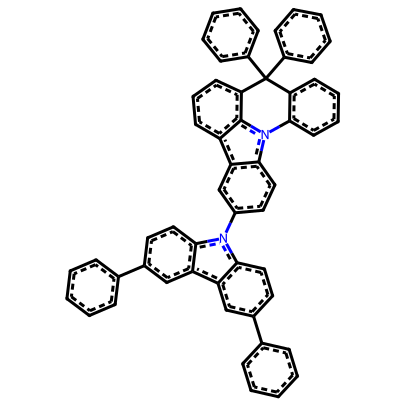 c1ccc(-c2ccc3c(c2)c2cc(-c4ccccc4)ccc2n3-c2ccc3c(c2)c2cccc4c2n3-c2ccccc2C4(c2ccccc2)c2ccccc2)cc1